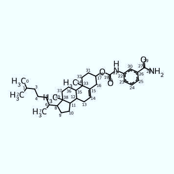 CC(C)CCCC(C)C1CCC2C3CC=C4CC(OC(=O)Nc5cccc(C(N)=O)c5)CCC4(C)C3CCC12C